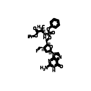 CC(C)OC(=O)[C@H](C)N[P@@](=O)(OC[C@H]1O[C@@H](n2cnc3c(=O)[nH]c(N)nc32)C[C@@H]1CF)Oc1ccccc1